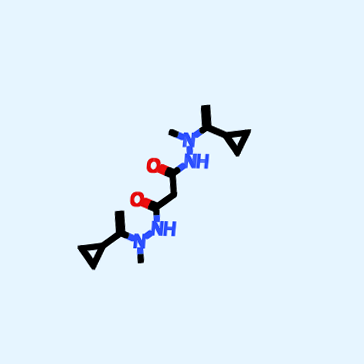 C=C(C1CC1)N(C)NC(=O)CC(=O)NN(C)C(=C)C1CC1